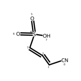 N#CC=C=CS(=O)(=O)O